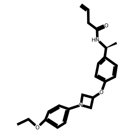 C=CCC(=O)N[C@@H](C)c1ccc(OC2CN(c3ccc(OCC)cc3)C2)cc1